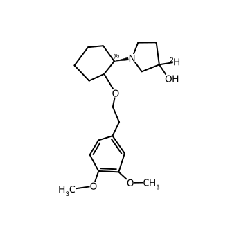 [2H]C1(O)CCN([C@@H]2CCCCC2OCCc2ccc(OC)c(OC)c2)C1